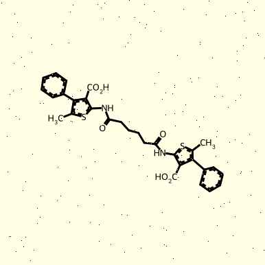 Cc1sc(NC(=O)CCCCC(=O)Nc2sc(C)c(-c3ccccc3)c2C(=O)O)c(C(=O)O)c1-c1ccccc1